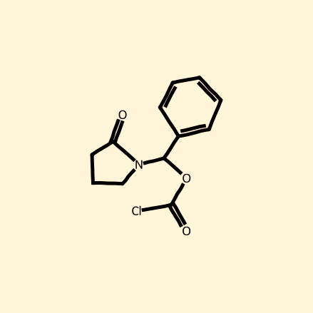 O=C(Cl)OC(c1ccccc1)N1CCCC1=O